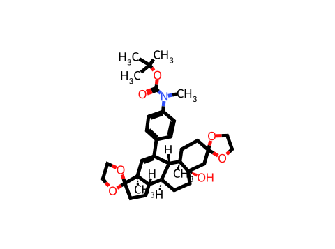 CN(C(=O)OC(C)(C)C)c1ccc(C2=C[C@@]3(C)[C@@H](CCC34OCCO4)[C@@H]3CC[C@@]4(O)CC5(CC[C@]4(C)[C@@H]23)OCCO5)cc1